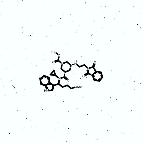 COCCCC(c1c[nH]c2ccccc12)N(C(=O)[C@@H]1C[C@H](NCCN2C(=O)c3ccccc3C2=O)CN(C(=O)OC(C)(C)C)C1)C1CC1